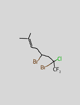 CC(C)=CCC(Br)CC(Cl)(Br)C(F)(F)F